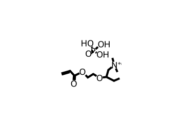 C=CC(=O)OCCOC(CC)C[N+](C)(C)C.O=P(O)(O)O